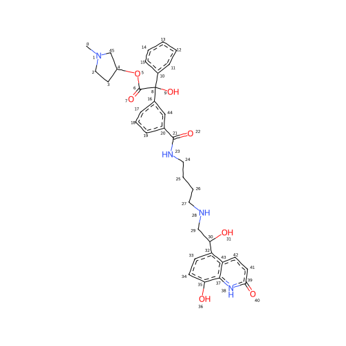 CN1CCC(OC(=O)C(O)(c2ccccc2)c2cccc(C(=O)NCCCCNCC(O)c3ccc(O)c4[nH]c(=O)ccc34)c2)C1